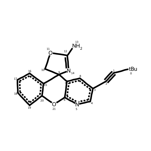 CC(C)(C)C#Cc1cnc2c(c1)C1(COC(N)=N1)c1c[c]ccc1O2